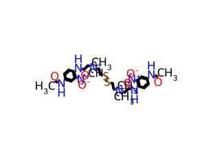 CC(=O)Nc1ccc(NCC[N+](C)(C)CCSSCC[N+](C)(C)CCNc2ccc(NC(C)=O)cc2[N+](=O)[O-])c([N+](=O)[O-])c1